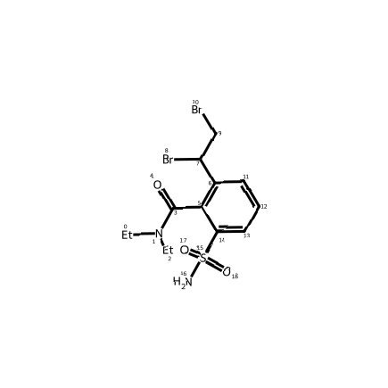 CCN(CC)C(=O)c1c(C(Br)CBr)cccc1S(N)(=O)=O